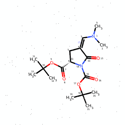 CN(C)/C=C1/C[C@@H](C(=O)OC(C)(C)C)N(C(=O)OC(C)(C)C)C1=O